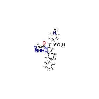 CC(=O)N1CCC(C(C[C@@H](Cc2ccc(-c3ccccc3)cc2)NC(=O)c2cnn[nH]2)C(=O)O)CC1